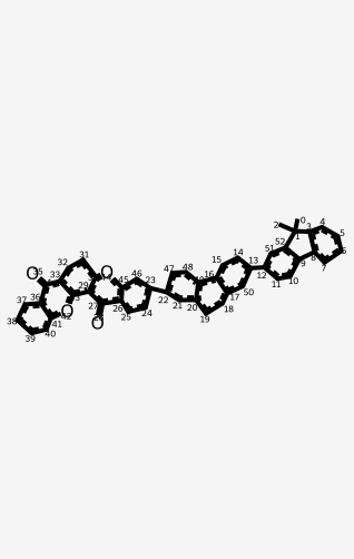 CC1(C)c2ccccc2-c2ccc(-c3ccc4c(ccc5cc(-c6ccc7c(=O)c8c(ccc9c(=O)c%10ccccc%10oc98)oc7c6)ccc54)c3)cc21